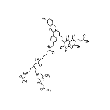 O=C(O)CC[C@@H](NC(=O)N[C@H](CCCCN(Cc1ccc(Br)cc1)C(=O)c1ccc(CNC(=O)CCCCNC(=O)CN(CCNCC(=O)O)CCN(CCNCC(=O)O)CC(=O)O)cc1)C(=O)O)C(=O)O